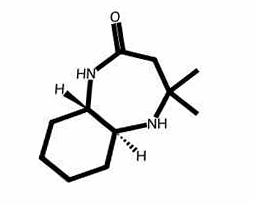 CC1(C)CC(=O)N[C@H]2CCCC[C@@H]2N1